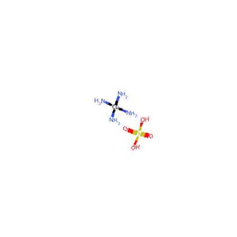 O=S(=O)(O)O.[NH2][Cu]([NH2])([NH2])[NH2]